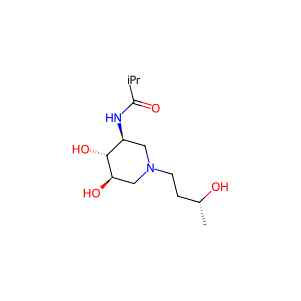 CC(C)C(=O)N[C@H]1CN(CC[C@@H](C)O)C[C@@H](O)[C@@H]1O